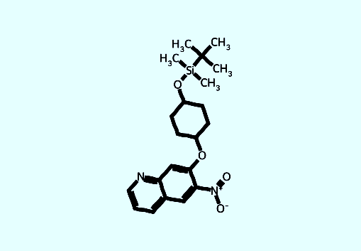 CC(C)(C)[Si](C)(C)OC1CCC(Oc2cc3ncccc3cc2[N+](=O)[O-])CC1